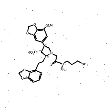 CCCCN(CCCN)C(=O)CN1C[C@H](c2cc(OC)c3c(c2)OCO3)[C@@H](C(=O)O)[C@@H]1CCc1cccc2c1OCO2